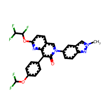 Cn1cc2cc(-n3cc4ccc(OC(F)C(F)F)nc4c(-c4ccc(OC(F)F)cc4)c3=O)ccc2n1